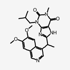 COc1cc2cncc(C(C)c3nc4c([nH]3)c(=O)n(C)c(=O)n4CC(C)C)c2cc1OC